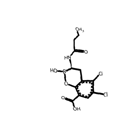 CCCC(=O)N[C@H]1Cc2c(Cl)c(Cl)cc(C(=O)O)c2OB1O